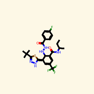 CCC(C)NC(=O)C1=CC(C(F)(F)F)=CC(=C2NN=C(C(C)(C)C)S2)C1NNC(=O)c1ccc(F)cc1